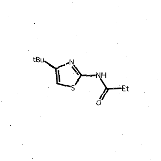 CCC(=O)Nc1nc(C(C)(C)C)cs1